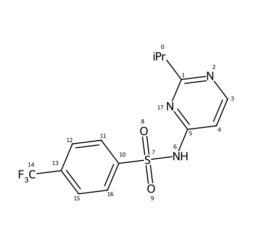 CC(C)c1nccc(NS(=O)(=O)c2ccc(C(F)(F)F)cc2)n1